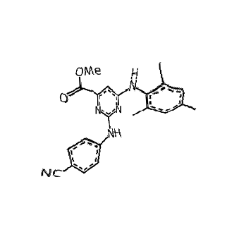 COC(=O)c1cc(Nc2c(C)cc(C)cc2C)nc(Nc2ccc(C#N)cc2)n1